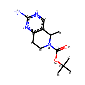 CC1c2cnc(N)nc2CCN1C(=O)OC(C)(C)C